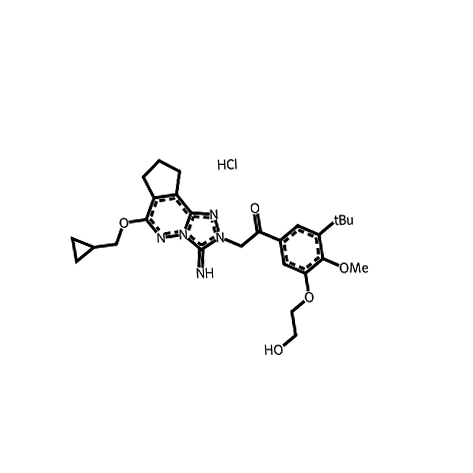 COc1c(OCCO)cc(C(=O)Cn2nc3c4c(c(OCC5CC5)nn3c2=N)CCC4)cc1C(C)(C)C.Cl